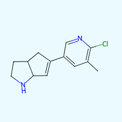 Cc1cc(C2=CC3NCCC3C2)cnc1Cl